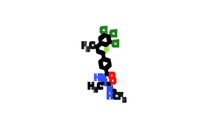 CN(NC(=O)c1ccc(/C(F)=C/C(c2cc(Cl)c(Cl)c(Cl)c2)C(F)(F)F)cc1)C(=O)NCC(F)(F)F